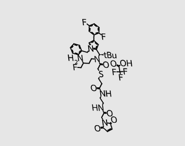 CC(C)(C)[C@H](c1cc(-c2cc(F)ccc2F)cn1Cc1ccccc1)N(CCC(N)CF)C(=O)CSCCC(=O)NCCNC(=O)CN1C(=O)C=CC1=O.O=C(O)C(F)(F)F